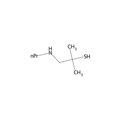 CCCNCC(C)(C)S